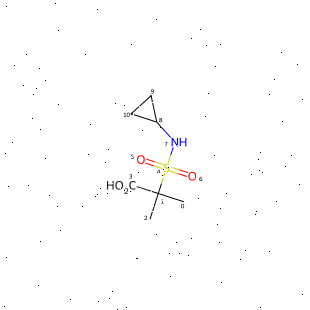 CC(C)(C(=O)O)S(=O)(=O)NC1CC1